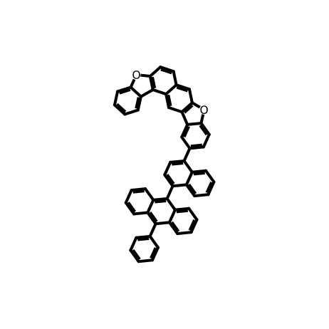 c1ccc(-c2c3ccccc3c(-c3ccc(-c4ccc5oc6cc7ccc8oc9ccccc9c8c7cc6c5c4)c4ccccc34)c3ccccc23)cc1